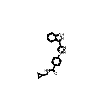 O=C(NCC1CC1)c1ccc(-n2cc(-c3n[nH]c4ccccc34)nn2)cc1